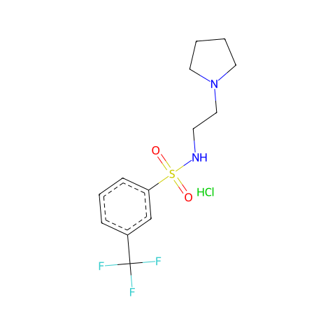 Cl.O=S(=O)(NCCN1CCCC1)c1cccc(C(F)(F)F)c1